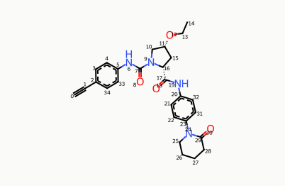 C#Cc1ccc(NC(=O)N2C[C@H](OCC)C[C@@H]2C(=O)Nc2ccc(N3CCCCC3=O)cc2)cc1